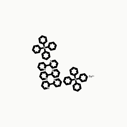 [Fe+2].c1ccc(-c2ccccn2)nc1.c1ccc(-c2ccccn2)nc1.c1ccc(-c2ccccn2)nc1.c1ccc([B-](c2ccccc2)(c2ccccc2)c2ccccc2)cc1.c1ccc([B-](c2ccccc2)(c2ccccc2)c2ccccc2)cc1